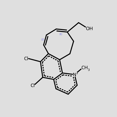 C[n+]1cccc2c(Cl)c(Cl)c3c(c21)CC/C(CO)=C\C=C/3